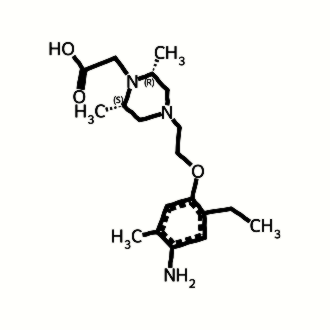 CCc1cc(N)c(C)cc1OCCN1C[C@@H](C)N(CC(=O)O)[C@@H](C)C1